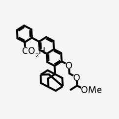 COC(C)OCOc1cc2ccc(-c3ccccc3C(=O)O)cc2cc1C12CC3CC(CC(C3)C1)C2